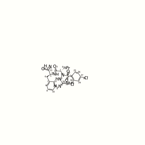 CCC[C@@H](C(=O)N[C@@H](Cc1ccccc1)C(N)=O)N(NC(=N)N)S(=O)(=O)c1ccc(Cl)cc1Cl